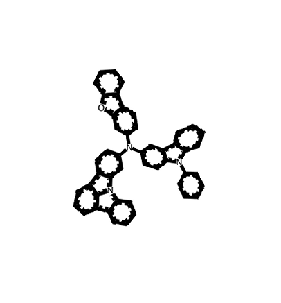 c1ccc(-n2c3ccccc3c3cc(N(c4ccc5c(c4)oc4ccccc45)c4ccc5c6cccc7c8ccccc8n(c5c4)c76)ccc32)cc1